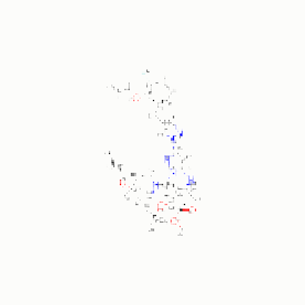 C=CCOc1c(F)cccc1Cc1cnn(-c2cc3nc(C)c([C@H](OC(C)(C)C)C(=O)OC)c(N4CCC(C)(OCC=C)CC4)n3n2)c1